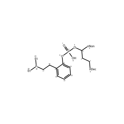 CCCCCCCCCCCCC(CCCCCCCCC)OP(=O)(O)Oc1ccccc1CCP(CC)CC